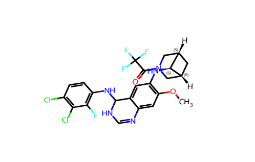 COc1cc2c(cc1N[C@@H]1[C@@H]3C[C@H]1CN(C(=O)C(F)(F)F)C3)C(Nc1ccc(Cl)c(Cl)c1F)NC=N2